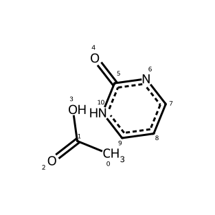 CC(=O)O.O=c1nccc[nH]1